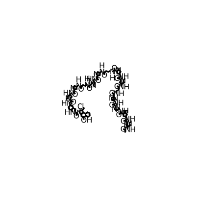 CC(=O)Nc1cn(C)c(C(=O)Nc2cc(C(=O)Nc3cn(C)c(C(=O)Nc4cn(C)c(C(=O)NCCC(=O)Nc5cc(C(=O)Nc6cc(C(=O)NCCCC(=O)Nc7cc(C(=O)Nc8cn(C)c(C(=O)NCCC(=O)Nc9cc(C(=O)Nc%10cc(C(=O)Nc%11ccc%12[nH]c(C(=O)N%13CC(CCl)c%14c%13cc(O)c%13ccccc%14%13)cc%12c%11)n(C)c%10)n(C)c9)n8)n(C)c7)n(C)c6)n(C)c5)n4)n3)n(C)c2)n1